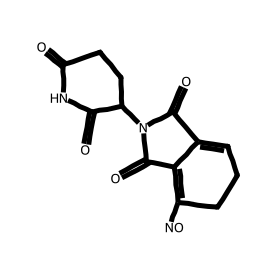 O=NC1=C2C(=O)N(C3CCC(=O)NC3=O)C(=O)C2=CCC1